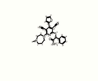 CN1CCCN(c2nc(SC(C(N)=O)c3ccccc3)c(C#N)c(-c3ccco3)c2C#N)CC1